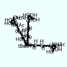 CC(=O)NC1C(O)[C@H](O)C(CO)O[C@H]1OCCCCC(=O)NCCCNC(=O)CCOCC(COCCC(=O)NCCCNC(=O)CCCCO[C@@H]1OC(CO)[C@@H](O)C(O)C1NC(C)=O)(COCCC(O)NCCCNC(=O)CCCCO[C@@H]1OC(CO)[C@@H](O)C(O)C1NC(C)=O)NC(C)(C)C